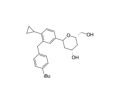 CCC(C)c1ccc(Cc2cc(C3C[C@@H](O)C[C@@H](CO)O3)ccc2C2CC2)cc1